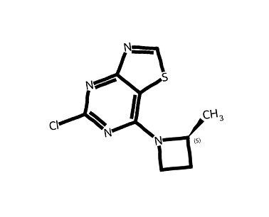 C[C@H]1CCN1c1nc(Cl)nc2ncsc12